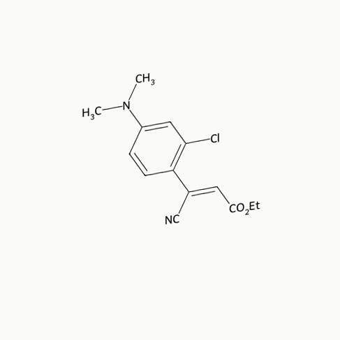 CCOC(=O)C=C(C#N)c1ccc(N(C)C)cc1Cl